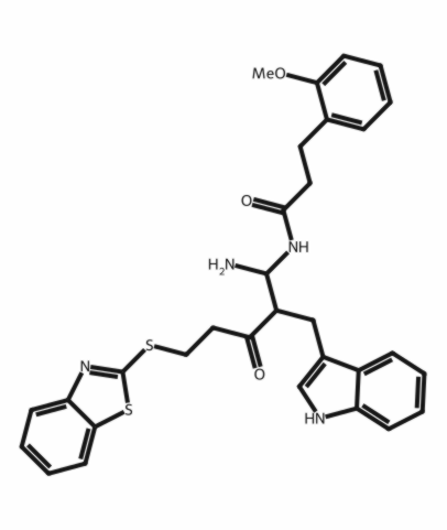 COc1ccccc1CCC(=O)NC(N)C(Cc1c[nH]c2ccccc12)C(=O)CCSc1nc2ccccc2s1